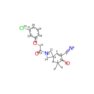 CC1(C)CC2(C=C(C#N)C1=O)CN(C(=O)COc1cccc(Cl)c1)C2